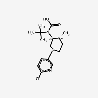 C[C@@H]1CCN(c2ccc(Cl)nc2)C[C@H]1N(C(=O)O)C(C)(C)C